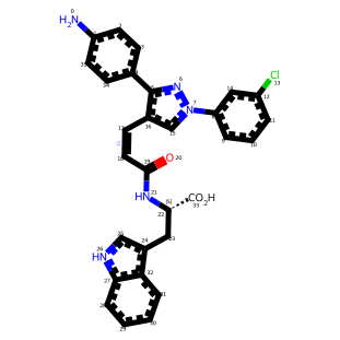 Nc1ccc(-c2nn(-c3cccc(Cl)c3)cc2/C=C\C(=O)N[C@@H](Cc2c[nH]c3ccccc23)C(=O)O)cc1